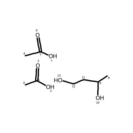 CC(=O)O.CC(=O)O.CC(O)CCO